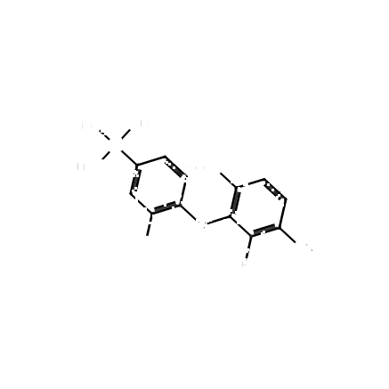 C[Si](C)(C)c1ccc(Nc2c(C(=O)O)ccc(C#N)c2F)c(F)c1